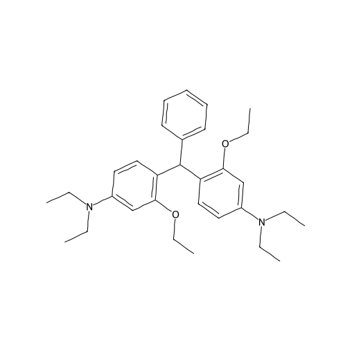 CCOc1cc(N(CC)CC)ccc1C(c1ccccc1)c1ccc(N(CC)CC)cc1OCC